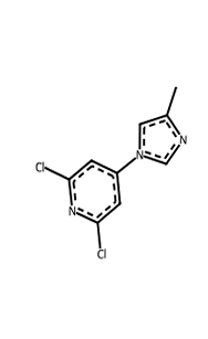 Cc1cn(-c2cc(Cl)nc(Cl)c2)cn1